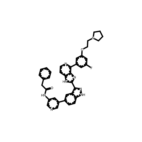 O=C(Cc1ccccc1)Nc1cncc(-c2ccc3[nH]nc(-c4nc5c(-c6cc(F)cc(OCCN7CCCC7)c6)nccc5[nH]4)c3c2)c1